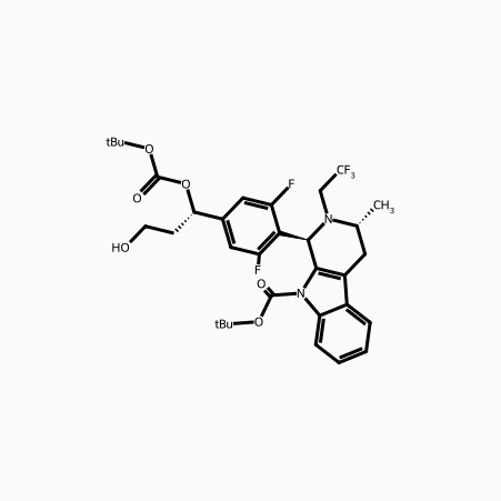 C[C@@H]1Cc2c(n(C(=O)OC(C)(C)C)c3ccccc23)[C@@H](c2c(F)cc([C@H](CCO)OC(=O)OC(C)(C)C)cc2F)N1CC(F)(F)F